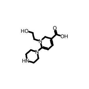 O=C(O)C1=CC=C(N2CCNCC2)N(CCO)C1